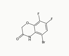 O=C1COc2c(F)c(F)cc(Br)c2N1